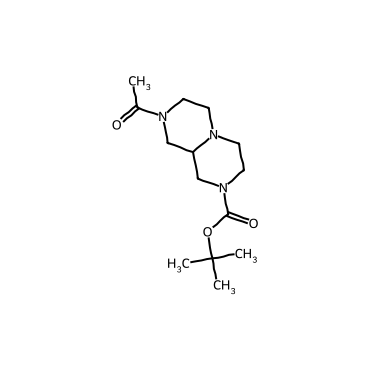 CC(=O)N1CCN2CCN(C(=O)OC(C)(C)C)CC2C1